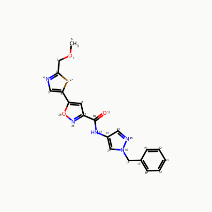 COCc1ncc(-c2cc(C(=O)Nc3cnn(Cc4ccccc4)c3)no2)s1